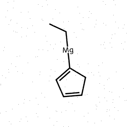 C[CH2][Mg][C]1=CC=CC1